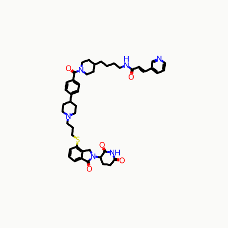 O=C(/C=C/c1cccnc1)NCCCCC1CCN(C(=O)c2ccc(C3CCN(CCCSc4cccc5c4CN(C4CCC(=O)NC4=O)C5=O)CC3)cc2)CC1